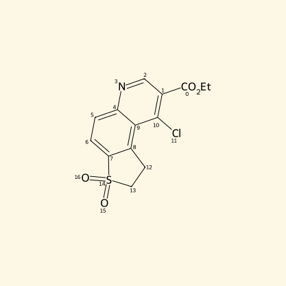 CCOC(=O)c1cnc2ccc3c(c2c1Cl)CCS3(=O)=O